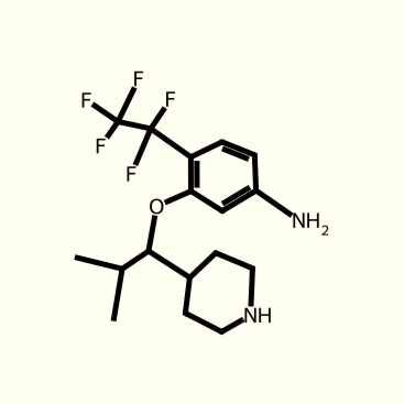 CC(C)C(Oc1cc(N)ccc1C(F)(F)C(F)(F)F)C1CCNCC1